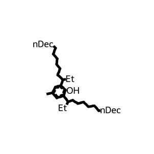 CCCCCCCCCCCCCCCCC(CC)c1cc(C)cc(C(CC)CCCCCCCCCCCCCCCC)c1O